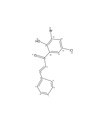 O=C(C=Cc1ccccc1)c1cc(Cl)cc(Br)c1O